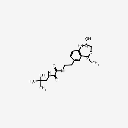 CC[C@@H]1OC[C@@H](O)Nc2ccc(CCNC(=O)C(=O)NCC(C)(C)C)cc21